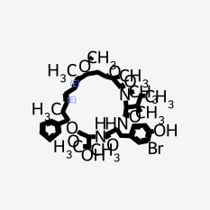 CCC(C)C1C(=O)NC(Cc2ccc(O)c(Br)c2)C(=O)NC(C(C)(C)O)C(=O)OC(c2ccccc2)C(C)/C=C/C=C(\C)C(OC)CC2OC2(C)C(=O)N1C